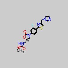 COC(=O)NC[C@H]1CN(c2ccc(-c3nc(Cn4ccnc4)cs3)c(F)c2)C(=O)O1